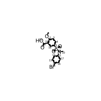 COc1ccc(S(=O)(=O)N(C)c2ccc(Br)cc2)cc1C(=O)O